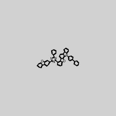 c1ccc(-c2ccc(-n3c4ccccc4c4ccc5c(oc6cccc(-c7nc(-c8ccccc8)nc(-c8ccc9c(c8)oc8ccccc89)n7)c65)c43)cc2)cc1